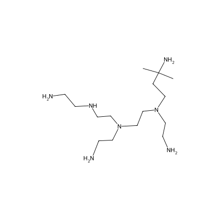 CC(C)(N)CCN(CCN)CCN(CCN)CCNCCN